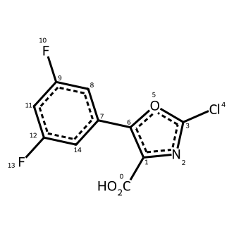 O=C(O)c1nc(Cl)oc1-c1cc(F)cc(F)c1